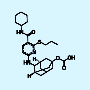 CCCSc1nc(NC2[C@@H]3CC4C[C@H]2CC(OC(=O)O)(C4)C3)ccc1C(=O)NC1CCCCC1